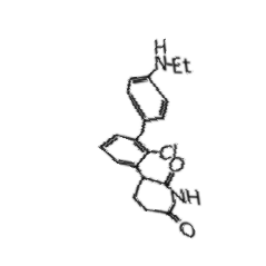 CCNc1ccc(-c2cccc([C@@H]3CCC(=O)NC3=O)c2Cl)cc1